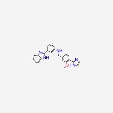 COc1cc(CNc2cccc(-c3nc4ccccc4[nH]3)c2)ccc1-c1ncc[nH]1